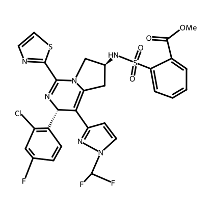 COC(=O)c1ccccc1S(=O)(=O)N[C@H]1CC2=C(c3ccn(C(F)F)n3)[C@H](c3ccc(F)cc3Cl)N=C(c3nccs3)N2C1